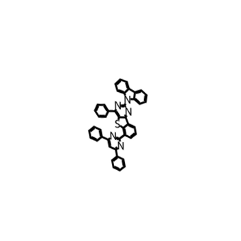 c1ccc(-c2cc(-c3ccccc3)nc(-c3cccc4c3sc3c(-c5ccccc5)nc(-n5c6ccccc6c6ccccc65)nc34)n2)cc1